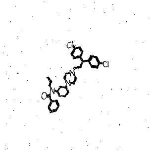 C=CCN(C(=O)c1ccccc1)C1CCCC(N2CCN(CCC(c3ccc(Cl)cc3)c3ccc(Cl)cc3)CC2)C1